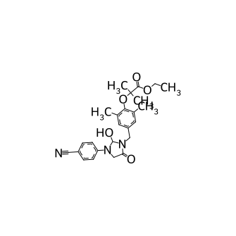 CCOC(=O)C(C)(C)Oc1c(C)cc(CN2C(=O)CN(c3ccc(C#N)cc3)C2O)cc1C